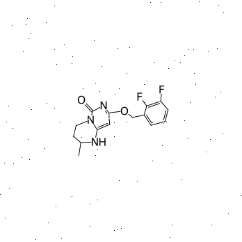 CC1CCn2c(cc(OCc3cccc(F)c3F)nc2=O)N1